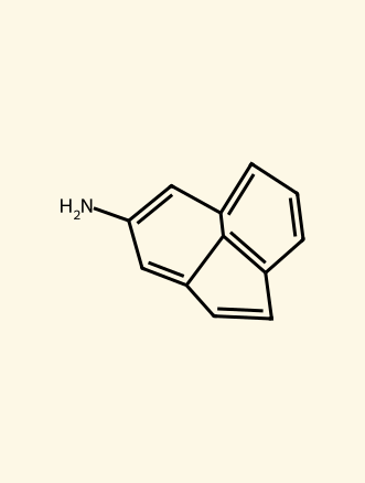 Nc1cc2c3c(cccc3c1)C=C2